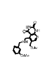 COc1cccc(CNCc2c(COC(C)=O)cnc3[nH]c(=O)[nH]c(=O)c23)c1